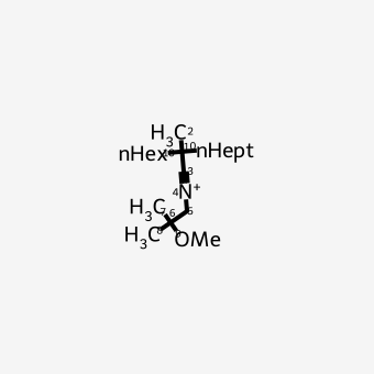 CCCCCCCC(C)(C#[N+]CC(C)(C)OC)CCCCCC